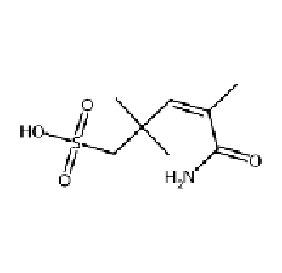 CC(=CC(C)(C)CS(=O)(=O)O)C(N)=O